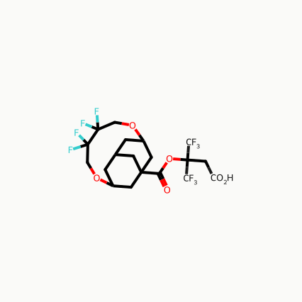 O=C(O)CC(OC(=O)C12CC3CC(C1)OCC(F)(F)C(F)(F)COC(C3)C2)(C(F)(F)F)C(F)(F)F